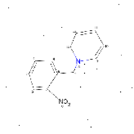 O=[N+]([O-])c1ccccc1CN1C=CC=CC1